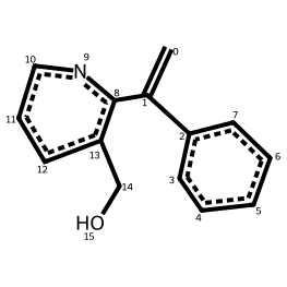 C=C(c1ccccc1)c1ncccc1CO